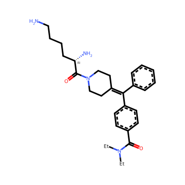 CCN(CC)C(=O)c1ccc(C(=C2CCN(C(=O)[C@@H](N)CCCCN)CC2)c2ccccc2)cc1